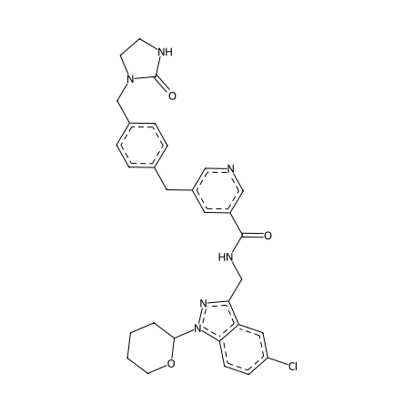 O=C(NCc1nn(C2CCCCO2)c2ccc(Cl)cc12)c1cncc(Cc2ccc(CN3CCNC3=O)cc2)c1